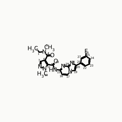 CCN(C)C(=O)c1cnn(C)c1C(=O)Nc1ccn2cc(-c3cccc(F)c3)nc2n1